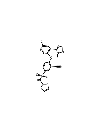 Cn1nccc1-c1cc(Cl)ncc1Oc1ccc(S(=O)(=O)Nc2nccs2)cc1C#N